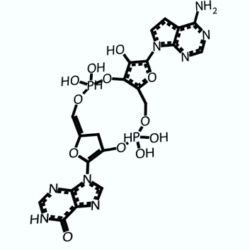 Nc1ncnc2c1ccn2-c1oc2c(c1O)O[PH](O)(O)O/C=C1\CC(=C(n3cnc4c(=O)[nH]cnc43)O1)O[PH](O)(O)OC2